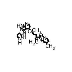 C=C/C(=C\C=C(/C)Oc1ccnc2[nH]nc(N[C@@H]3CCCNC3)c12)C(=O)Nc1cc(C)ccn1